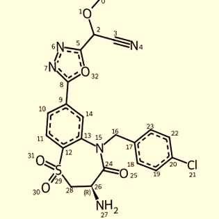 COC(C#N)c1nnc(-c2ccc3c(c2)N(Cc2ccc(Cl)cc2)C(=O)[C@@H](N)CS3(=O)=O)o1